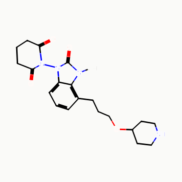 Cn1c(=O)n(N2C(=O)CCCC2=O)c2cccc(CCCOC3CCNCC3)c21